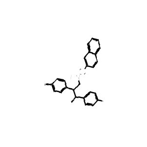 CC(c1ccc(Cl)cc1)C(CNS(=O)(=O)c1ccc2ccccc2c1)c1ccc(Cl)cc1